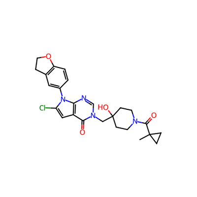 CC1(C(=O)N2CCC(O)(Cn3cnc4c(cc(Cl)n4-c4ccc5c(c4)CCO5)c3=O)CC2)CC1